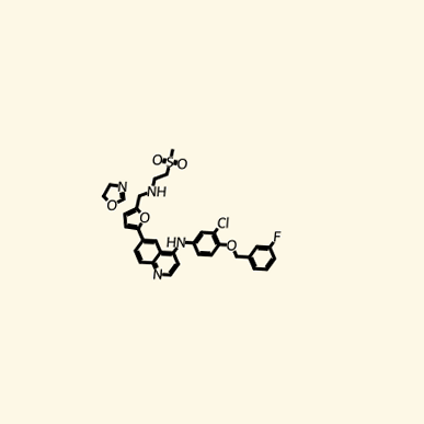 C1=NCCO1.CS(=O)(=O)CCNCc1ccc(-c2ccc3nccc(Nc4ccc(OCc5cccc(F)c5)c(Cl)c4)c3c2)o1